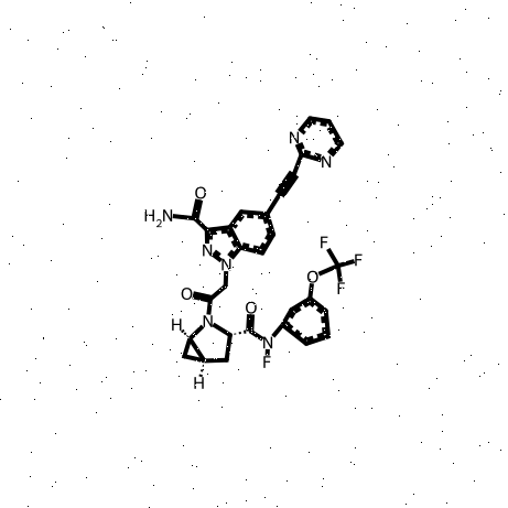 NC(=O)c1nn(CC(=O)N2[C@@H]3C[C@@H]3C[C@H]2C(=O)N(F)c2cccc(OC(F)(F)F)c2)c2ccc(C#Cc3ncccn3)cc12